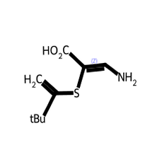 C=C(S/C(=C\N)C(=O)O)C(C)(C)C